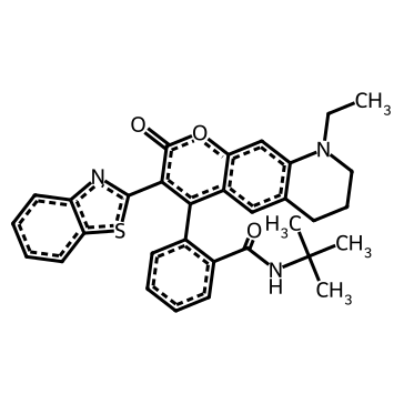 CCN1CCCc2cc3c(-c4ccccc4C(=O)NC(C)(C)C)c(-c4nc5ccccc5s4)c(=O)oc3cc21